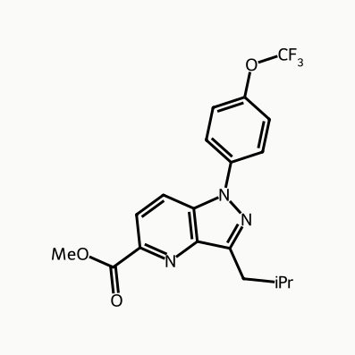 COC(=O)c1ccc2c(n1)c(CC(C)C)nn2-c1ccc(OC(F)(F)F)cc1